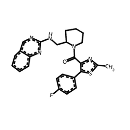 Cc1nc(C(=O)N2CCCCC2CNc2ncc3ccccc3n2)c(-c2ccc(F)cc2)s1